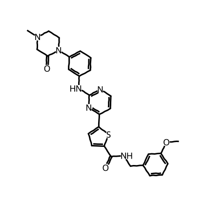 COc1cccc(CNC(=O)c2ccc(-c3ccnc(Nc4cccc(N5CCN(C)CC5=O)c4)n3)s2)c1